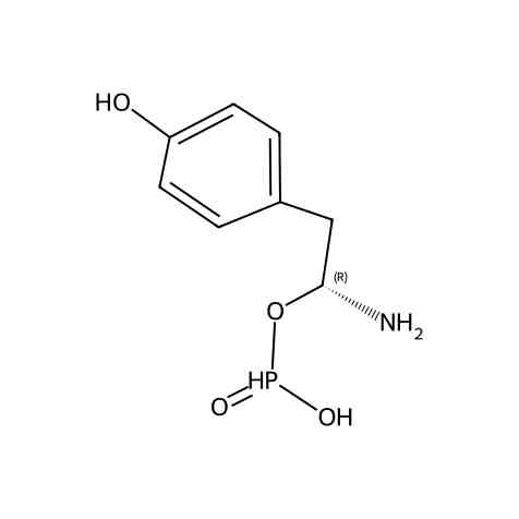 N[C@@H](Cc1ccc(O)cc1)O[PH](=O)O